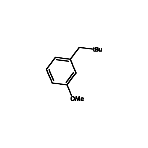 COc1cccc(CC(C)(C)C)c1